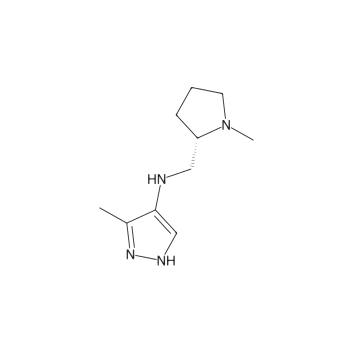 Cc1n[nH]cc1NC[C@@H]1CCCN1C